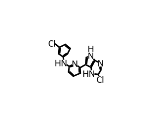 Clc1cccc(Nc2cccc(-c3c[nH]c4c3NC(Cl)C=N4)n2)c1